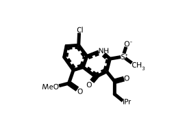 COC(=O)c1ccc(Cl)c2[nH]c([S+](C)[O-])c(C(=O)CC(C)C)c(=O)c12